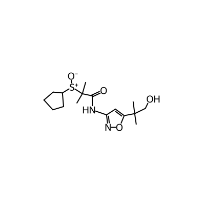 CC(C)(CO)c1cc(NC(=O)C(C)(C)[S+]([O-])C2CCCC2)no1